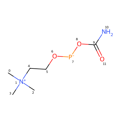 C[N+](C)(C)CCO[P-]OC(N)=O